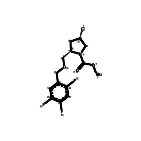 CC(C)(C)OC(=O)N1C[C@@H](Cl)C[C@H]1COCc1cc(F)c(F)cc1F